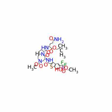 CCOP(=O)(O)C(F)(F)c1ccc2sc(C(=O)N[C@H]3CN(C(=O)OC)CC[C@H]4CC[C@@H](C(=O)N[C@@H](CCC(N)=O)C(=O)OCC(C)C)N4C3=O)cc2c1